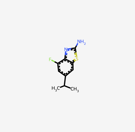 CC(C)c1cc(F)c2nc(N)sc2c1